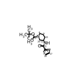 CC(C)(C)OC(=O)N1CCCC(NC(=O)c2nccs2)C1